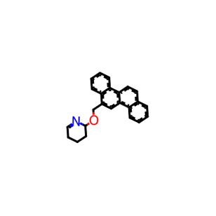 C1=NC(OCc2cc3c4ccccc4ccc3c3ccccc23)CCC1